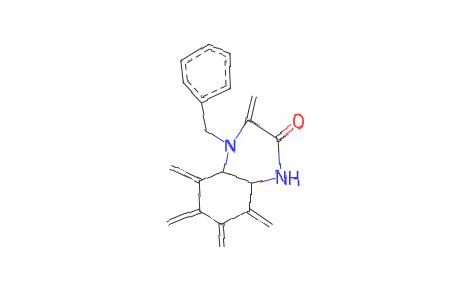 C=C1C(=C)C(=C)C2C(NC(=O)C(=C)N2Cc2ccccc2)C1=C